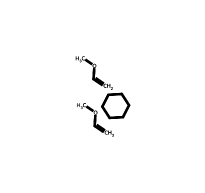 C1CCCCC1.C=COC.C=COC